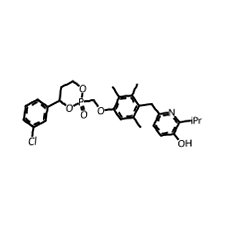 Cc1cc(OCP2(=O)OCCC(c3cccc(Cl)c3)O2)c(C)c(C)c1Cc1ccc(O)c(C(C)C)n1